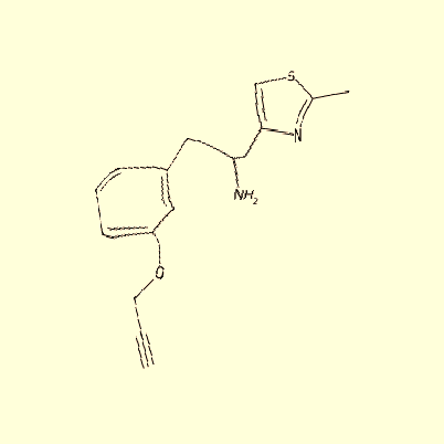 C#CCOc1cccc(CC(N)c2csc(C)n2)c1